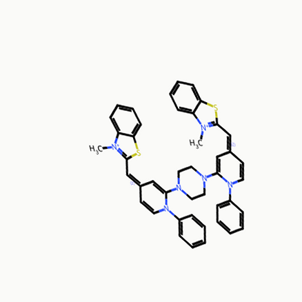 C[n+]1c(/C=C2/C=CN(c3ccccc3)C(N3CCN(C4=C/C(=C\c5sc6ccccc6[n+]5C)C=CN4c4ccccc4)CC3)=C2)sc2ccccc21